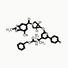 Cc1nc2c(C#N)cc(C(=O)N3C[C@@H]4C(Oc5cc(C(C)(C)NC(=O)OCc6ccccc6)cc(-c6ccc(F)cc6)n5)[C@@H]4C3)cc2s1